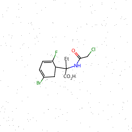 CCC(NC(=O)CCl)(C(=O)O)C1CC(Br)=CC=C1F